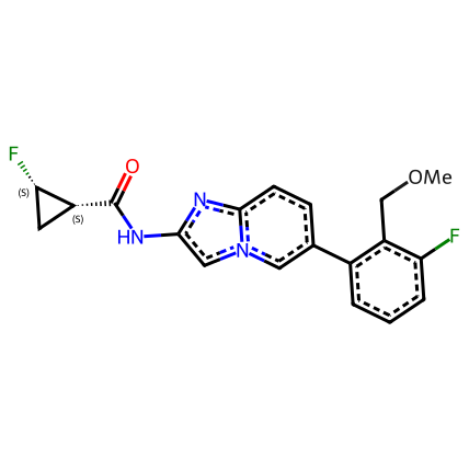 COCc1c(F)cccc1-c1ccc2nc(NC(=O)[C@@H]3C[C@@H]3F)cn2c1